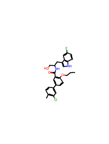 CCCOc1ccc(-c2ccc(C)c(Cl)c2)cc1C(=O)NC(CO)Cc1c[nH]c2ccc(F)cc12